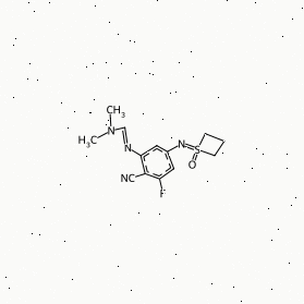 CN(C)C=Nc1cc(N=S2(=O)CCC2)cc(F)c1C#N